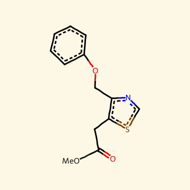 COC(=O)Cc1scnc1COc1ccccc1